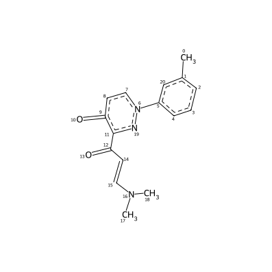 Cc1cccc(-n2ccc(=O)c(C(=O)C=CN(C)C)n2)c1